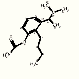 CCCCc1c(OC(N)=O)cccc1C(C)N(C)C